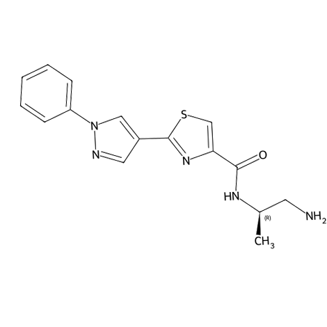 C[C@H](CN)NC(=O)c1csc(-c2cnn(-c3ccccc3)c2)n1